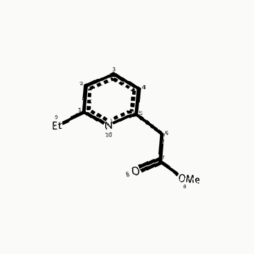 CCc1cccc(CC(=O)OC)n1